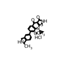 COc1c(-c2ccc3c(c2)CNC3C)ccc2c(=O)c3c(=O)[nH]sc3n(C3CC3)c12.Cl